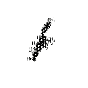 C=C(C)[C@@H]1CC[C@]2(NCCN3CCN(S(=O)(=O)c4cn(C)cn4)CC3)CC[C@]3(C)[C@H](CCC4[C@@]5(C)CC=C(c6ccc(C(=O)O)cc6)C(C)(C)C5CC[C@]43C)C12